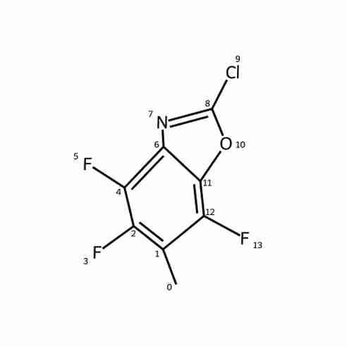 Cc1c(F)c(F)c2nc(Cl)oc2c1F